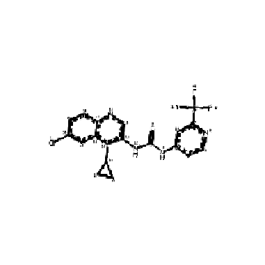 O=C(Nc1ccnc(C(F)(F)F)c1)Nc1cnc2ccc(Cl)cc2c1C1CC1